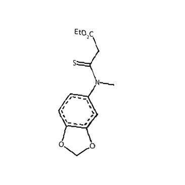 CCOC(=O)CC(=S)N(C)c1ccc2c(c1)OCO2